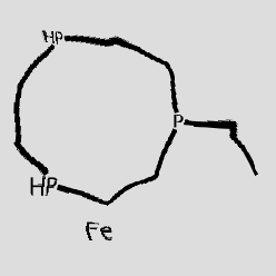 CCP1CCPCCPCC1.[Fe]